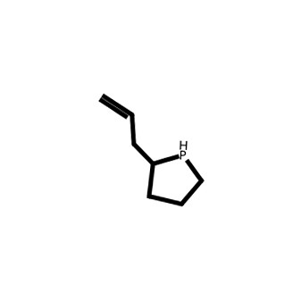 C=CCC1CCCP1